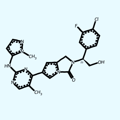 Cc1cnc(Nc2ccnn2C)nc1-c1cc2n(c1)C(=O)N([C@H](CO)c1ccc(Cl)c(F)c1)C2